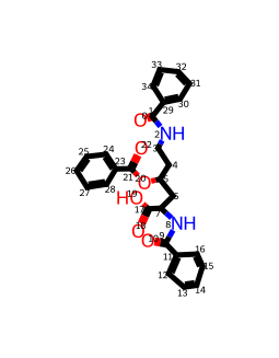 O=C(NCCC(CC(NC(=O)c1ccccc1)C(=O)O)OC(=O)c1ccccc1)c1ccccc1